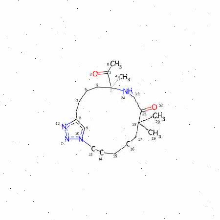 CC(=O)[C@]1(C)CCCc2cn(nn2)CCCCCC(C)(C)C(=O)CN1